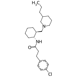 CCCC1CCCN(C[C@@H]2CCCC[C@H]2NC(=O)CCc2ccc(Cl)cc2)C1